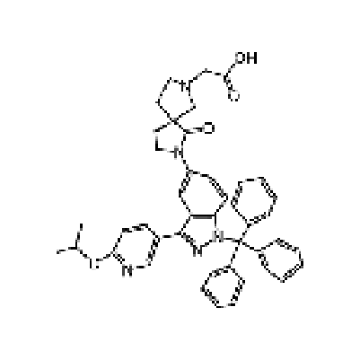 CC(C)Oc1ccc(-c2nn(C(c3ccccc3)(c3ccccc3)c3ccccc3)c3ccc(N4CC[C@]5(CCN(CC(=O)O)C5)C4=O)cc23)cn1